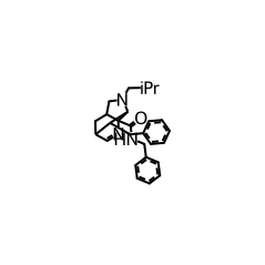 CC(C)CN1CC2CC3C=NC2(C(=O)NCc2ccccc2)C1C3Cc1ccccc1